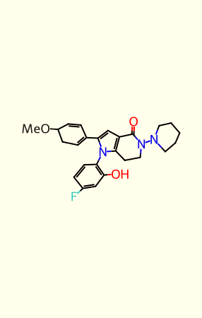 COC1C=CC(c2cc3c(n2-c2ccc(F)cc2O)CCN(N2CCCCC2)C3=O)=CC1